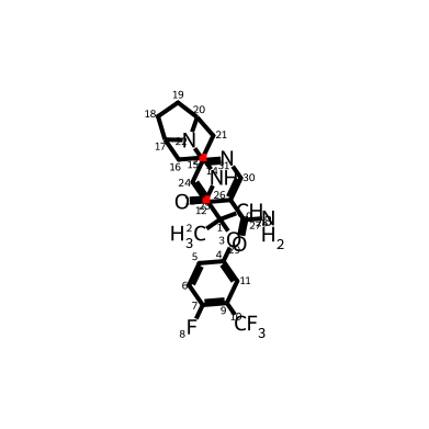 CC(C)(Oc1ccc(F)c(C(F)(F)F)c1)C(=O)NC1CC2CCC(C1)N2c1ccc(C(N)=O)cn1